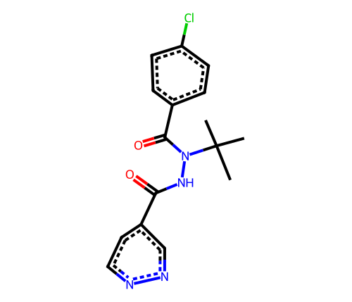 CC(C)(C)N(NC(=O)c1ccnnc1)C(=O)c1ccc(Cl)cc1